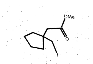 COC(=O)CC1(CI)CCCC1